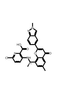 Cc1cc([C@@H](C)Nc2ccc(Cl)nc2C(=O)O)c2oc(-c3ccc4nn(C)cc4c3)cc(=O)c2c1